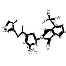 C[C@H](Cc1nncn1C)c1cc(N)nc(N2Cc3c(cccc3C(F)(F)F)C2=O)c1